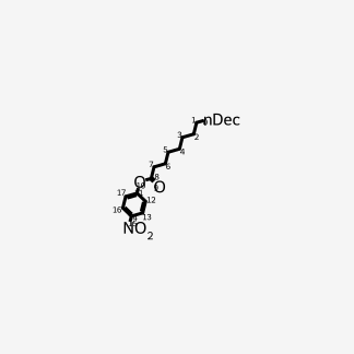 CCCCCCCCCCCCCCCCCC(=O)Oc1ccc([N+](=O)[O-])cc1